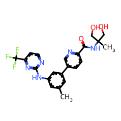 Cc1cc(Nc2nccc(C(F)(F)F)n2)cc(-c2ccc(C(=O)NC(C)(CO)CO)nc2)c1